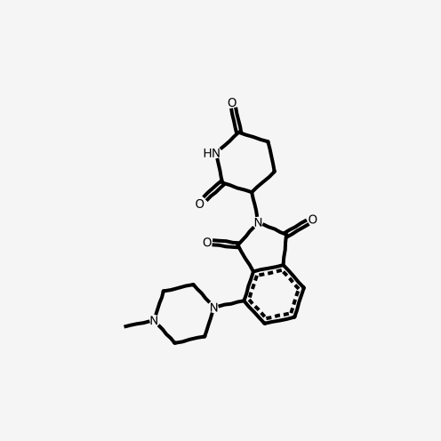 CN1CCN(c2cccc3c2C(=O)N(C2CCC(=O)NC2=O)C3=O)CC1